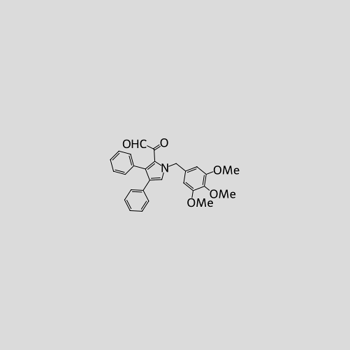 COc1cc(Cn2cc(-c3ccccc3)c(-c3ccccc3)c2C(=O)C=O)cc(OC)c1OC